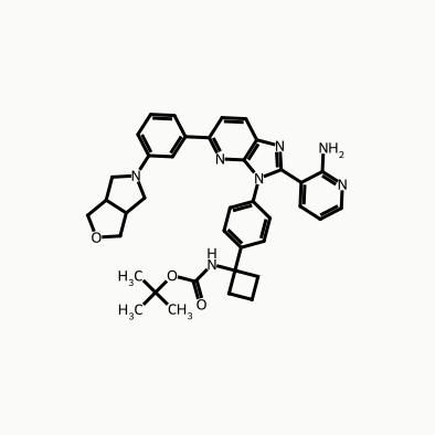 CC(C)(C)OC(=O)NC1(c2ccc(-n3c(-c4cccnc4N)nc4ccc(-c5cccc(N6CC7COCC7C6)c5)nc43)cc2)CCC1